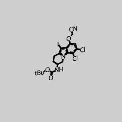 CC(C)(C)OC(=O)NC1CCc2c(I)c3c(OCC#N)cc(Cl)c(Cl)c3n2C1